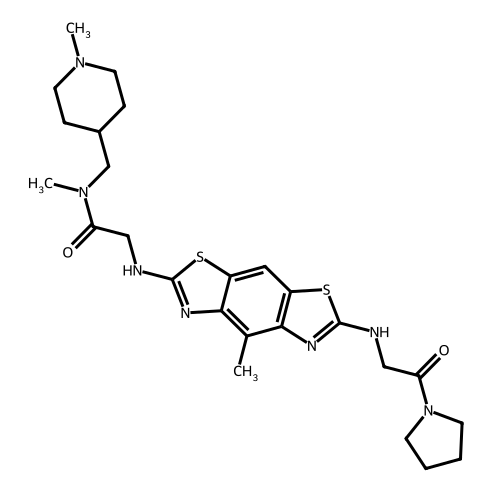 Cc1c2nc(NCC(=O)N(C)CC3CCN(C)CC3)sc2cc2sc(NCC(=O)N3CCCC3)nc12